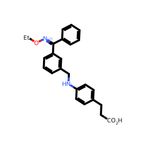 CCO/N=C(/c1ccccc1)c1cccc(CNc2ccc(CCC(=O)O)cc2)c1